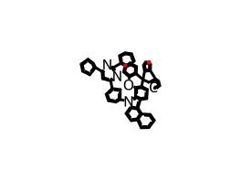 c1ccc(-c2cc(-c3cccc(-n4c5ccc6ccccc6c5c5ccc6c(c54)Oc4ccccc4C64c5ccccc5-c5ccccc54)c3)nc(-c3ccccc3)n2)cc1